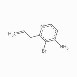 C=CCc1nccc(N)c1Br